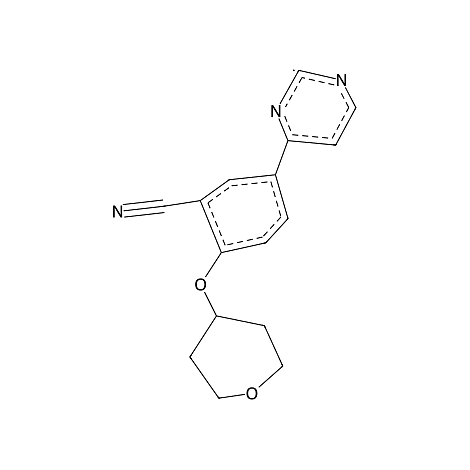 N#Cc1cc(-c2ccn[c]n2)ccc1OC1CCOCC1